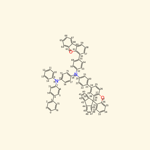 c1ccc(-c2ccc(N(c3ccccc3)c3ccc(N(c4ccc(-c5ccc6c(c5)C5(c7ccccc7O6)c6ccccc6-c6ccccc65)cc4)c4ccc(-c5cccc6c5oc5ccccc56)cc4)cc3)cc2)cc1